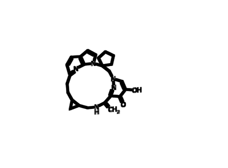 C=C1NCC2CC2CCc2ccc3ccn(c3n2)C2(CCCC2)Cn2cc(O)c(=O)c1n2